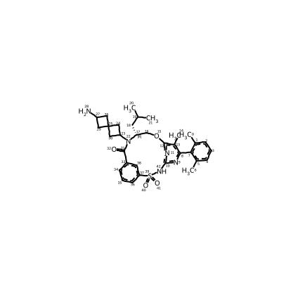 Cc1cccc(C)c1-c1nc2nc(c1C)OC[C@@H](CC(C)C)N(C1CC3(CC(N)C3)C1)C(=O)c1cccc(c1)S(=O)(=O)N2